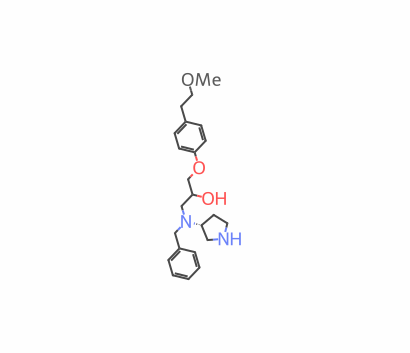 COCCc1ccc(OCC(O)CN(Cc2ccccc2)[C@@H]2CCNC2)cc1